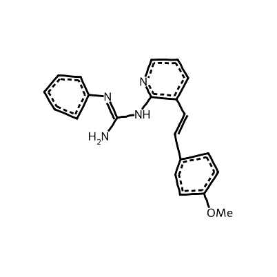 COc1ccc(C=Cc2cccnc2NC(N)=Nc2ccccc2)cc1